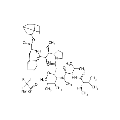 CC[C@H](C)[C@@H]([C@@H](CC(=O)N1CCC[C@H]1[C@H](OC)[C@@H](C)C(=O)N[C@@H](Cc1ccccc1)C(=O)OC12CC3CC(CC(C3)C1)C2)OC)N(C)C(=O)[C@@H](NC(=O)[C@@H](NC)C(C)C)C(C)C.O=C([O-])C(F)(F)F.[Na+]